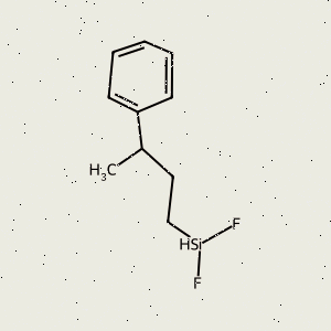 CC(CC[SiH](F)F)c1ccccc1